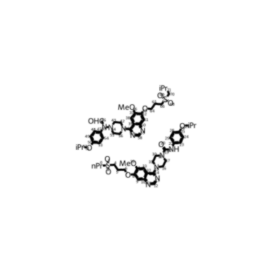 CCCS(=O)(=O)CCCOc1cc2ncnc(N3CCN(C(=O)Nc4ccc(OC(C)C)cc4)CC3)c2cc1OC.COc1cc2c(N3CCN(N(C=O)c4ccc(OC(C)C)cc4)CC3)ncnc2cc1OCCCS(=O)(=O)CC(C)C